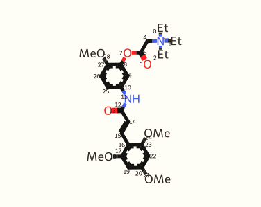 CC[N+](CC)(CC)CC(=O)Oc1cc(NC(=O)/C=C/c2c(OC)cc(OC)cc2OC)ccc1OC